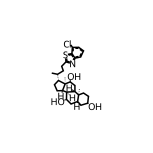 CC(CCc1nc2cccc(Cl)c2s1)[C@H]1CC[C@H]2[C@@H]3[C@H](O)C[C@@H]4C[C@H](O)CC[C@]4(C)[C@H]3C[C@H](O)[C@]12C